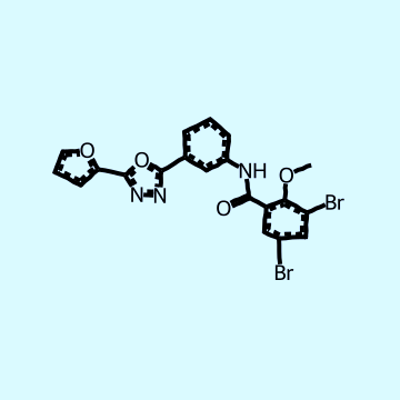 COc1c(Br)cc(Br)cc1C(=O)Nc1cccc(-c2nnc(-c3ccco3)o2)c1